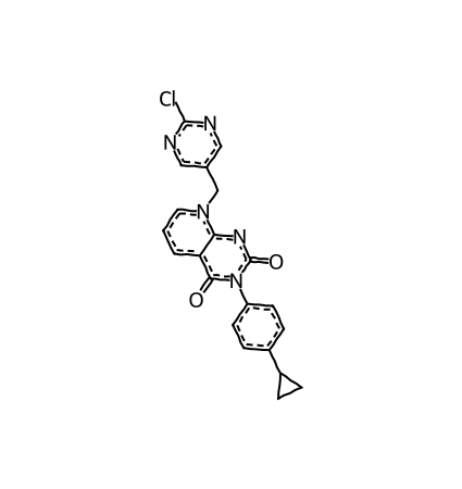 O=c1nc2n(Cc3cnc(Cl)nc3)cccc-2c(=O)n1-c1ccc(C2CC2)cc1